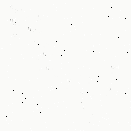 COc1cccc([C@H]2COc3cc(O)ccc3C2c2ccc(N3CCC(CN4CCN(c5ccc6c(c5)CN([C@H]5CCC(=O)NC5=O)C6=O)CC4)CC3)cc2)c1